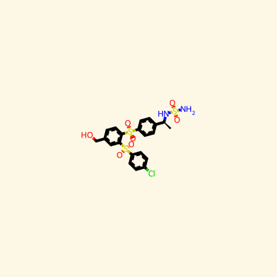 C[C@H](NS(N)(=O)=O)c1ccc(S(=O)(=O)c2ccc(CO)cc2S(=O)(=O)c2ccc(Cl)cc2)cc1